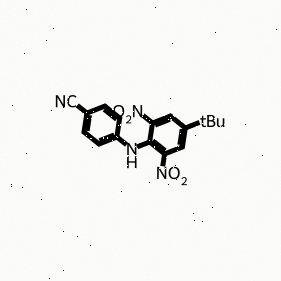 CC(C)(C)c1cc([N+](=O)[O-])c(Nc2ccc(C#N)cc2)c([N+](=O)[O-])c1